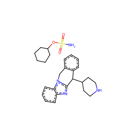 NS(=O)(=O)OC1CCCCC1.c1ccc2c(c1)Cn1c(nc3ccccc31)C2C1CCNCC1